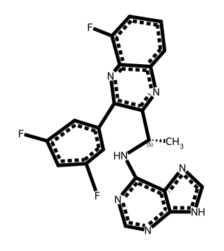 C[C@H](Nc1ncnc2[nH]cnc12)c1nc2cccc(F)c2nc1-c1cc(F)cc(F)c1